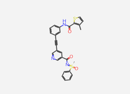 Cc1ccsc1C(=O)Nc1cccc(C#Cc2cncc(C(=O)N=[S@@](C)(=O)c3ccccc3)c2)c1